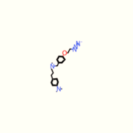 CN(CCCc1ccc(N(C)C)cc1)Cc1ccc(OCCN=[N+]=[N-])cc1